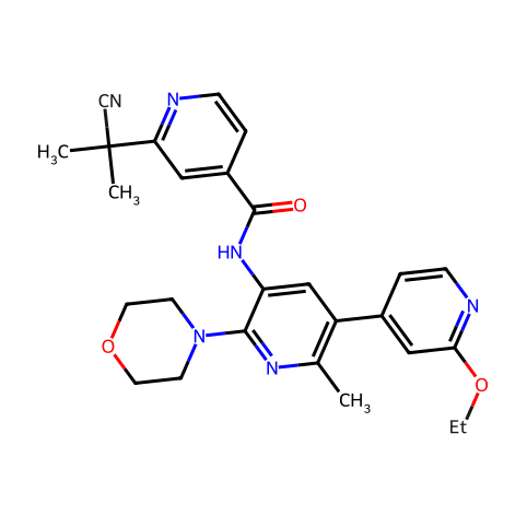 CCOc1cc(-c2cc(NC(=O)c3ccnc(C(C)(C)C#N)c3)c(N3CCOCC3)nc2C)ccn1